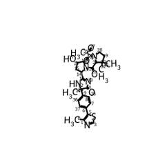 Cc1ncsc1-c1ccc([C@]2(C)NC([C@H]3C[C@@H](O)CN3C(=O)C3N(S(C)(=O)=O)CCC3(C)C)=NC2=O)cc1